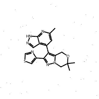 Cc1cc(-c2c(-c3cscn3)nn3c2COC(C)(C)C3)c2cn[nH]c2n1